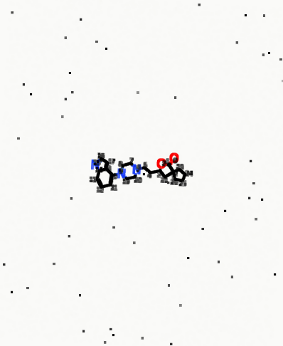 O=C1OC(CCN2CCN(C3=CC=CC4N=CC=C34)CC2)CC12CCCC2